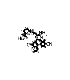 Cc1c(C#N)cccc1-c1nc(N)c(CCNc2cccc(C(C)(C)O)n2)nc1-c1cc(Cl)c2ncccc2c1